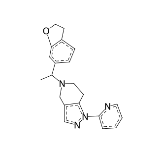 CC(c1ccc2c(c1)OCC2)N1CCc2c(cnn2-c2ccccn2)C1